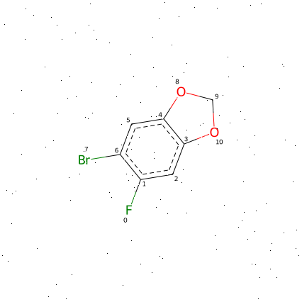 Fc1cc2c(cc1Br)OCO2